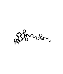 C=CC(=O)OCCOCCN1C(=O)c2cccc3c(OC(C)C)ccc(c23)C1=O